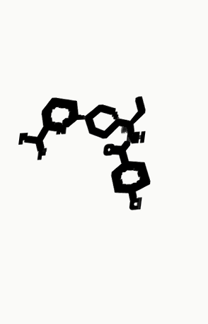 CC[C@@H](NC(=O)c1ccc(Cl)cc1)[C@H]1CC[C@@H](c2cccc(C(F)F)n2)CC1